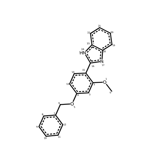 COc1cc(OCc2ccccc2)ccc1-c1nc2ccccc2[nH]1